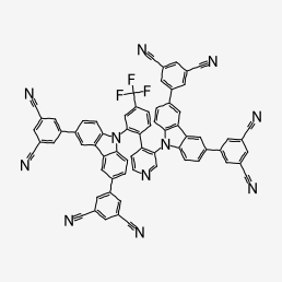 N#Cc1cc(C#N)cc(-c2ccc3c(c2)c2cc(-c4cc(C#N)cc(C#N)c4)ccc2n3-c2cnccc2-c2ccc(C(F)(F)F)cc2-n2c3ccc(-c4cc(C#N)cc(C#N)c4)cc3c3cc(-c4cc(C#N)cc(C#N)c4)ccc32)c1